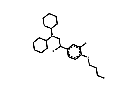 CCCCSc1ccc(C(O)CN(C2CCCCC2)C2CCCCC2)cc1C